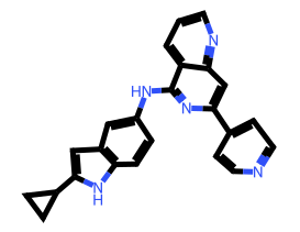 c1cnc2cc(-c3ccncc3)nc(Nc3ccc4[nH]c(C5CC5)cc4c3)c2c1